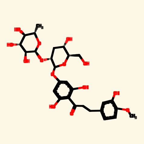 COc1ccc(CCC(=O)c2c(O)cc(OC3O[C@H](CO)[C@@H](O)C[C@H]3O[C@@H]3O[C@@H](C)[C@H](O)[C@@H](O)[C@@H]3O)cc2O)cc1O